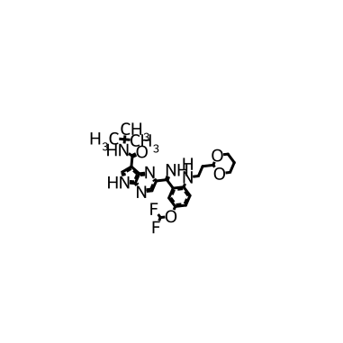 CC(C)(C)NC(=O)c1c[nH]c2ncc(C(=N)c3cc(OC(F)F)ccc3NCCC3OCCCO3)nc12